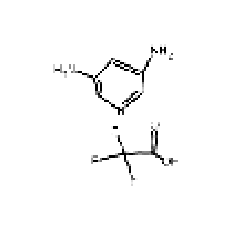 Nc1cncc(N)c1.O=C(O)C(F)(F)F